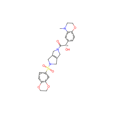 CN1CCOc2ccc([C@H](O)C(=O)N3CC4=C(C3)CN(S(=O)(=O)c3ccc5c(c3)OCCO5)C4)cc21